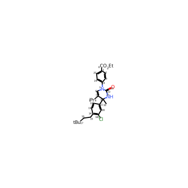 CCOC(=O)c1ccc(N2C=C(C(C)C)C(C)(c3ccc(CCC(C)(C)C)c(Cl)c3)NC2=O)cc1